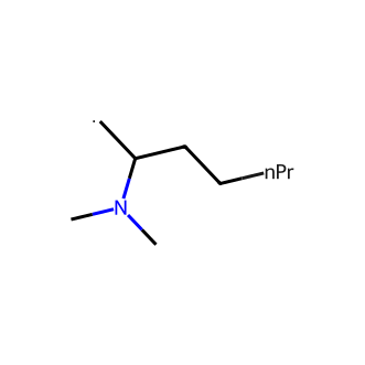 [CH2]C(CCCCC)N(C)C